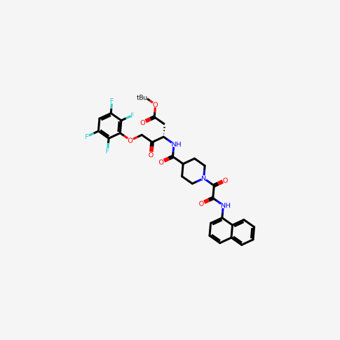 CC(C)(C)OC(=O)C[C@H](NC(=O)C1CCN(C(=O)C(=O)Nc2cccc3ccccc23)CC1)C(=O)COc1c(F)c(F)cc(F)c1F